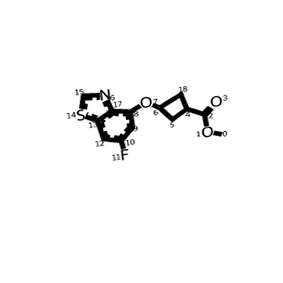 COC(=O)C1CC(Oc2cc(F)cc3scnc23)C1